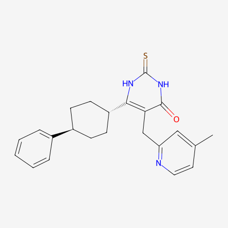 Cc1ccnc(Cc2c(=O)[nH]c(=S)[nH]c2[C@H]2CC[C@H](c3ccccc3)CC2)c1